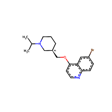 CC(C)N1CCC[C@@H](COc2ccnc3ccc(Br)cc23)C1